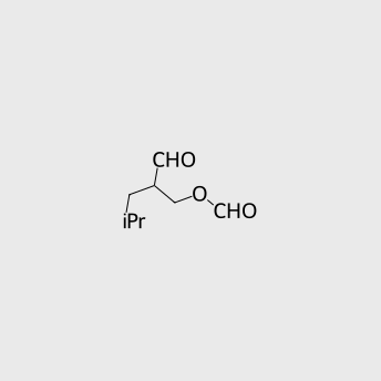 CC(C)CC(C=O)COC=O